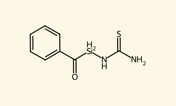 NC(=S)N[SiH2]C(=O)c1ccccc1